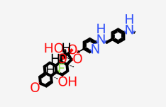 CNc1ccc(CNc2ccc([C@@H]3O[C@@H]4C[C@H]5[C@@H]6CCC7=CC(=O)C=C[C@]7(C)[C@@]6(F)[C@@H](O)C[C@]5(C)[C@]4(C(=O)CO)O3)cn2)cc1